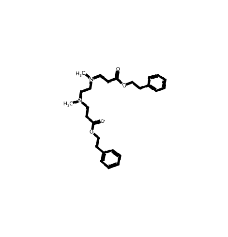 CN(CCC(=O)OCCc1ccccc1)CCN(C)CCC(=O)OCCc1ccccc1